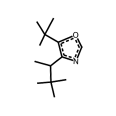 CC(c1ncoc1C(C)(C)C)C(C)(C)C